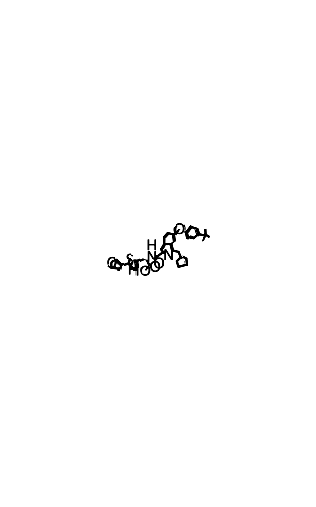 CC(C)(C)c1ccc(Oc2ccc3cc(C(=O)N[C@@H](Cc4ccc(-c5ccoc5)s4)C(=O)O)nc(CC4CCCC4)c3c2)cc1